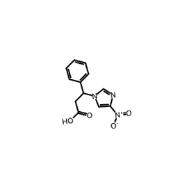 O=C(O)CC(c1ccccc1)n1cnc([N+](=O)[O-])c1